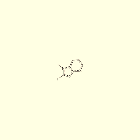 Cn1c(F)cc2[c]cccc21